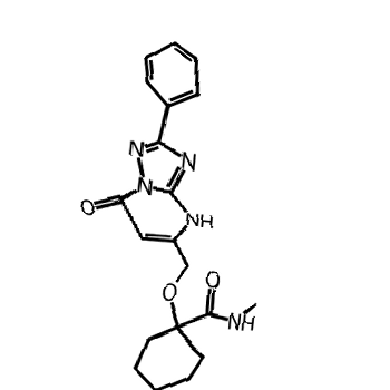 CNC(=O)C1(OCc2cc(=O)n3nc(-c4ccccc4)nc3[nH]2)CCCCC1